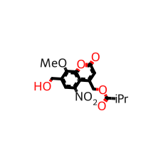 COc1c(CO)cc([N+](=O)[O-])c2c(COC(=O)C(C)C)cc(=O)oc12